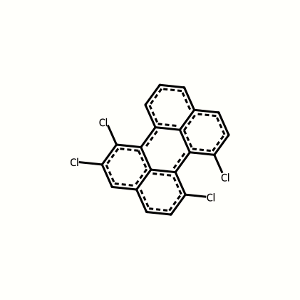 Clc1cc2ccc(Cl)c3c4c(Cl)ccc5cccc(c(c1Cl)c23)c54